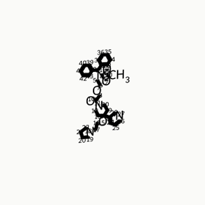 CS(=O)(=O)N(CCOCC(=O)N1CCC(OCCN2CCCC2)(c2cccnc2)CC1)C(c1ccccc1)c1ccccc1